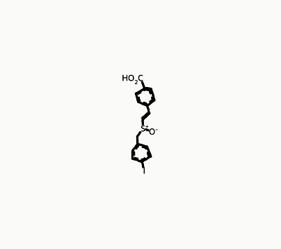 O=C(O)c1ccc(/C=C/[S+]([O-])Cc2ccc(I)cc2)cc1